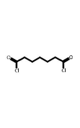 O=C(Cl)CCCCCC(=O)Cl